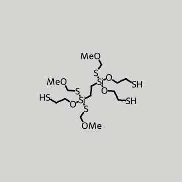 COCS[Si](CC[Si](OCCS)(SCOC)SCOC)(OCCS)OCCS